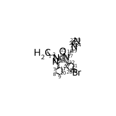 C=CCn1nc(-c2ccccc2)c2c1C(=O)N(CCCn1ccnc1)C2c1ccc(Br)cc1